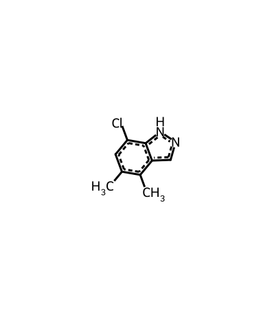 Cc1cc(Cl)c2[nH]ncc2c1C